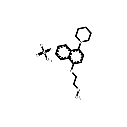 COCCOc1ccc([S+]2CCCCC2)c2ccccc12.CS(=O)(=O)[O-]